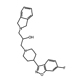 OC(CN1CCC(c2noc3cc(F)ccc23)CC1)CN1Cc2ccccc2C1